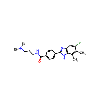 CCN(CC)CCCNC(=O)c1ccc(-c2nc3cc(Br)c(C)c(C)c3[nH]2)cc1